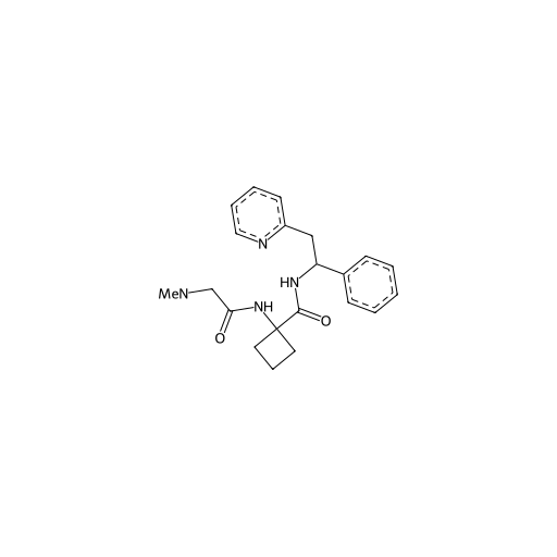 CNCC(=O)NC1(C(=O)NC(Cc2ccccn2)c2ccccc2)CCC1